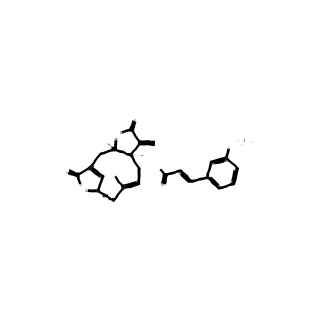 C=C1C(=O)O[C@H]2CC3=C[C@@H](C/C(C)=C/[C@@H](OC(=O)/C=C/c4cccc(OC)c4)[C@H]12)OC3=O